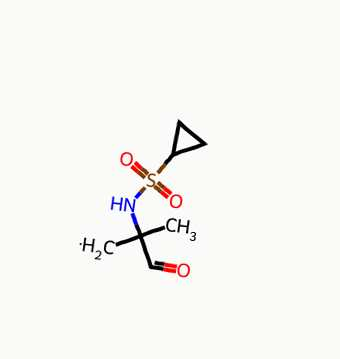 [CH2]C(C)(C=O)NS(=O)(=O)C1CC1